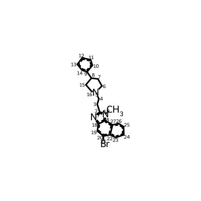 Cn1c(CCN2CCC(c3ccccc3)CC2)nc2cc(Br)c3ccccc3c21